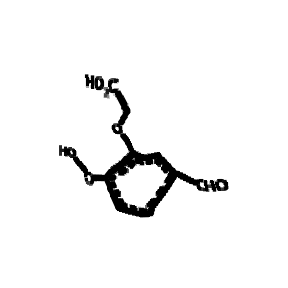 O=Cc1ccc(OO)c(OCC(=O)O)c1